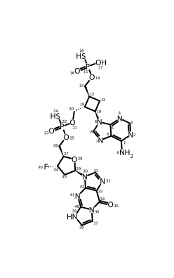 Nc1ncnc2c1ncn2[C@@H]1C[C@H](COP(=O)(O)S)[C@H]1COP(=O)(S)OC[C@H]1O[C@@H](n2cnc3c(=O)n4cc[nH]c4nc32)C[C@@H]1F